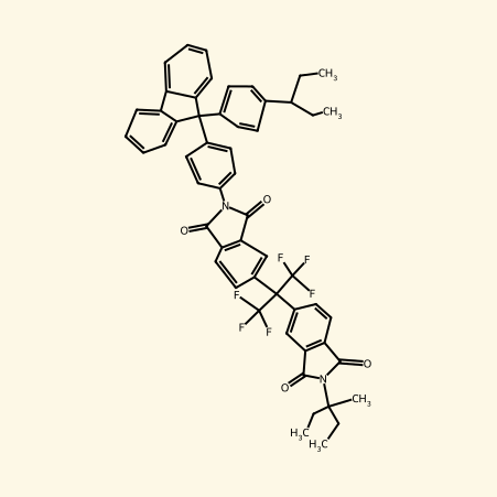 CCC(CC)c1ccc(C2(c3ccc(N4C(=O)c5ccc(C(c6ccc7c(c6)C(=O)N(C(C)(CC)CC)C7=O)(C(F)(F)F)C(F)(F)F)cc5C4=O)cc3)c3ccccc3-c3ccccc32)cc1